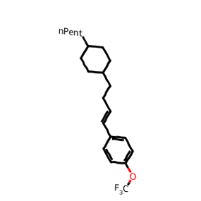 CCCCCC1CCC(CCC=Cc2ccc(OC(F)(F)F)cc2)CC1